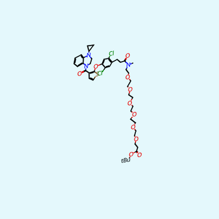 CN(CCOCCOCCOCCOCCOCCOCCC(=O)OC(C)(C)C)C(=O)CCc1cc(Cl)c(Oc2sccc2C(=O)N2CCN(C3CC3)c3ccccc32)cc1Cl